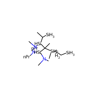 CCCN(CCC)[SiH](N(C)C)C(C)([SiH](C)[SiH2]C[SiH3])[SiH](C(C)[SiH3])N(C)C